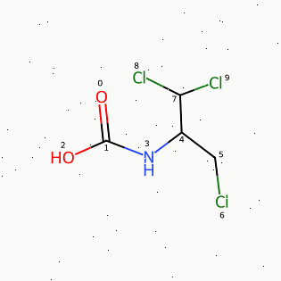 O=C(O)NC(CCl)C(Cl)Cl